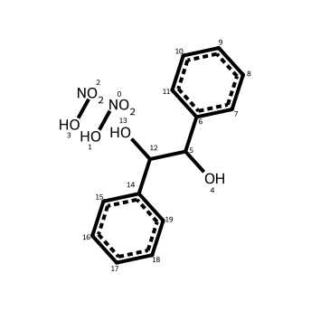 O=[N+]([O-])O.O=[N+]([O-])O.OC(c1ccccc1)C(O)c1ccccc1